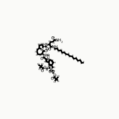 CCCCCCCCCCCCCCCCNC(=O)C(CCC(N)=O)NC(=O)[C@@H]1CCC2CCCC[C@H](NC(=O)c3cc4cc(CP(=O)(OCOC(=O)C(C)(C)C)OCOC(=O)C(C)(C)C)ccc4[nH]3)C(=O)N21